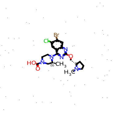 C[C@H]1CN(C(=O)O)CCN1c1nc(OC[C@@H]2CCCN2C)nc2cc(Br)c(Cl)cc12